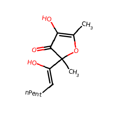 CCCCCC=C(O)C1(C)OC(C)=C(O)C1=O